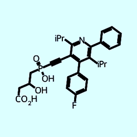 CC(C)c1nc(-c2ccccc2)c(C(C)C)c(-c2ccc(F)cc2)c1C#CP(=O)(O)CC(O)CC(=O)O